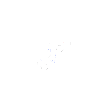 COc1cccc(C(C)Nc2cc(-c3cccc4cc[nH]c34)nc(C)n2)c1